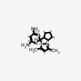 Cc1cc(C)n(C2(C3CCCC3)N=C(N)C=C(N)N2)n1